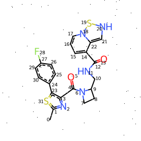 Cc1nc(C(=O)N2CCC2CNC(=O)C2=CC=CN3SNC=C23)c(-c2ccc(F)cc2)s1